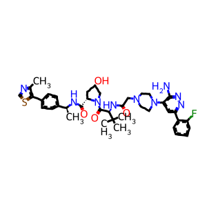 Cc1ncsc1-c1ccc([C@H](C)NC(=O)[C@@H]2C[C@@H](O)CN2C(=O)[C@@H](NC(=O)CN2CCN(c3cc(-c4ccccc4F)nnc3N)CC2)C(C)(C)C)cc1